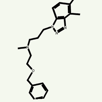 Cc1c(Br)ccc2c1nnn2CCCN(C)CCOCc1ccccc1